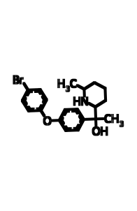 CC1CCCC(C(C)(O)c2ccc(Oc3ccc(Br)cc3)cc2)N1